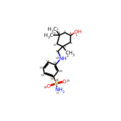 CC1(C)CC(O)CC(C)(CNc2cccc(S(N)(=O)=O)c2)C1